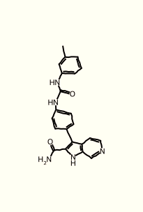 Cc1cccc(NC(=O)Nc2ccc(-c3c(C(N)=O)[nH]c4cnccc34)cc2)c1